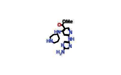 COC(=O)c1cnc(Nc2cnc(N)cn2)cc1NC1CCCNCC1